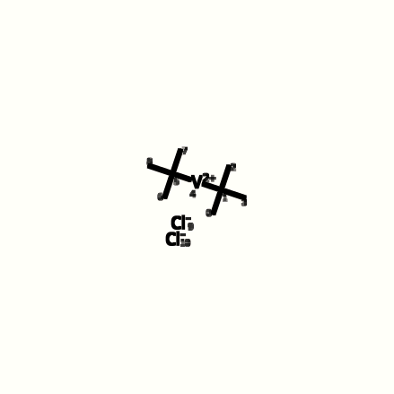 C[C](C)(C)[V+2][C](C)(C)C.[Cl-].[Cl-]